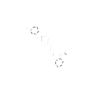 CC(=O)Nc1ccccc1OCC(O)CN1CCC2(CC1)Cc1cc(Cl)ccc1O2